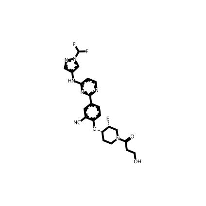 N#Cc1cc(-c2nccc(Nc3cnn(C(F)F)c3)n2)ccc1O[C@H]1CCN(C(=O)CCO)C[C@H]1F